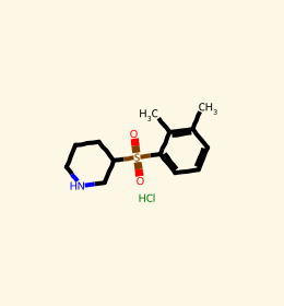 Cc1cccc(S(=O)(=O)C2CCCNC2)c1C.Cl